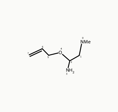 [CH2]NCC(N)OCC=C